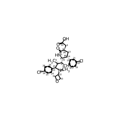 CC(C(C)[C@@H]1NC(=O)[C@@H](CC(=O)O)C[C@@H]1c1cccc(Cl)c1)C(c1ccc(Cl)cc1)N(C)C1COC1